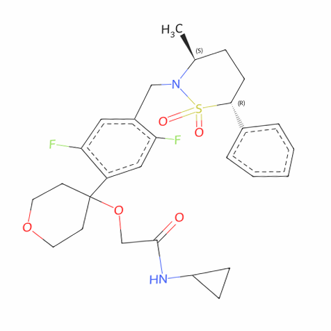 C[C@H]1CC[C@H](c2ccccc2)S(=O)(=O)N1Cc1cc(F)c(C2(OCC(=O)NC3CC3)CCOCC2)cc1F